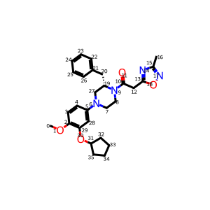 COc1ccc(N2CCN(C(=O)Cc3nc(C)no3)[C@@H](Cc3ccccc3)C2)cc1OC1CCCC1